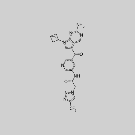 Nc1ncc2c(C(=O)c3cncc(NC(=O)Cn4cc(C(F)(F)F)nn4)c3)cn(C34CC(C3)C4)c2n1